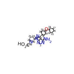 Nc1ncnc2c1c(-c1ccc(Oc3ccccc3)cc1)nn2C1CCCN(CC(=O)O)C1